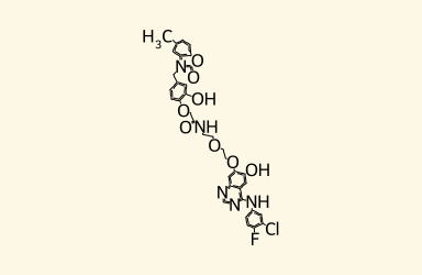 Cc1ccc2oc(=O)n(Cc3ccc(OCC(=O)NCCOCCOc4cc5ncnc(Nc6ccc(F)c(Cl)c6)c5cc4O)c(O)c3)c2c1